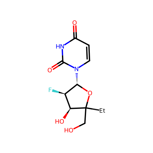 CCC1(CO)O[C@@H](n2ccc(=O)[nH]c2=O)[C@H](F)[C@@H]1O